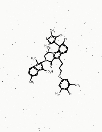 Cc1ccc2c(c1)c(C(=O)O)c(N1C[C@@H](C)n3c(c(CCCOc4cc(C)c(Cl)c(C)c4)c4ccc(Cl)c(-c5c(C)nn(C)c5C)c43)C1=O)n2C